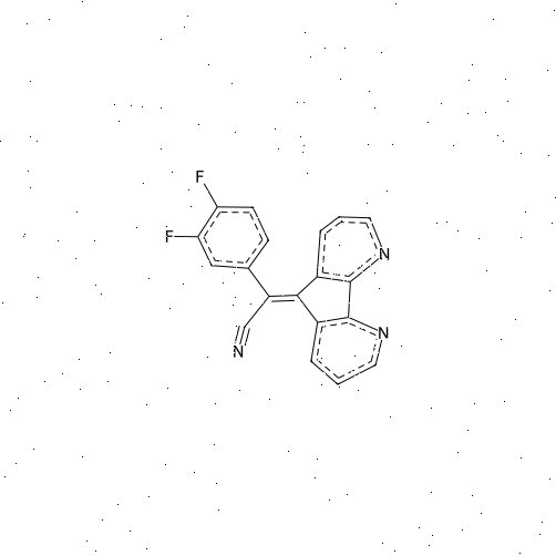 N#CC(=C1c2cccnc2-c2ncccc21)c1ccc(F)c(F)c1